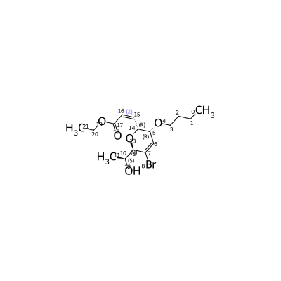 CCCCO[C@@H]1C=C(Br)[C@@H]([C@H](C)O)O[C@@H]1/C=C\C(=O)OCC